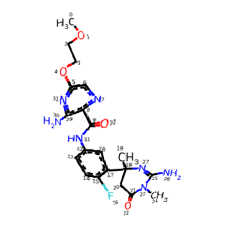 COCCOc1cnc(C(=O)Nc2ccc(F)c(C3(C)CC(=O)N(C)C(N)=N3)c2)c(N)n1